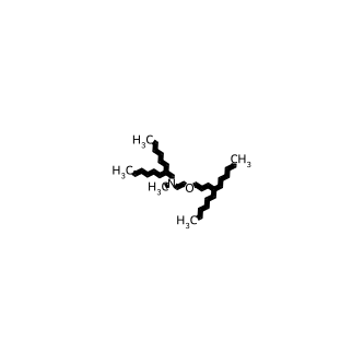 CCCCCCC(CCCCCC)CCCOCCN(C)CC(CCCCCC)CCCCCC